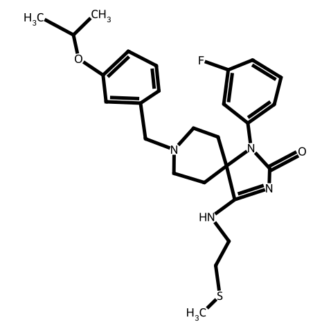 CSCCNC1=NC(=O)N(c2cccc(F)c2)C12CCN(Cc1cccc(OC(C)C)c1)CC2